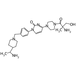 CC(N)C1CCN(Cc2ccc(-n3ccc(N4CCN(C(=O)C(C)(N)CO)CC4)nc3=O)cc2)CC1